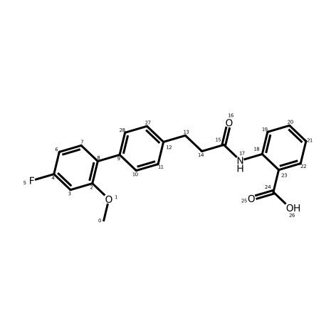 COc1cc(F)ccc1-c1ccc(CCC(=O)Nc2ccccc2C(=O)O)cc1